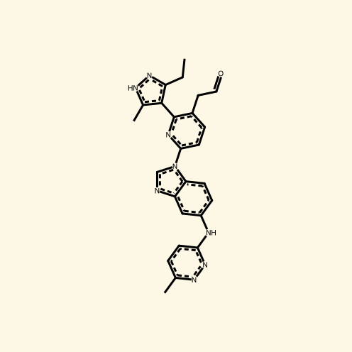 CCc1n[nH]c(C)c1-c1nc(-n2cnc3cc(Nc4ccc(C)nn4)ccc32)ccc1CC=O